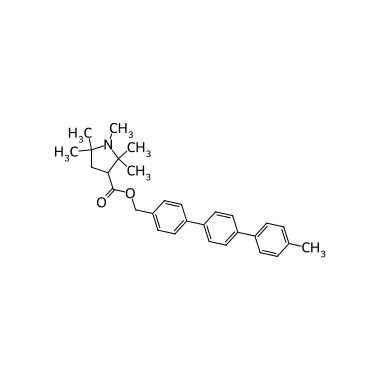 Cc1ccc(-c2ccc(-c3ccc(COC(=O)C4CC(C)(C)N(C)C4(C)C)cc3)cc2)cc1